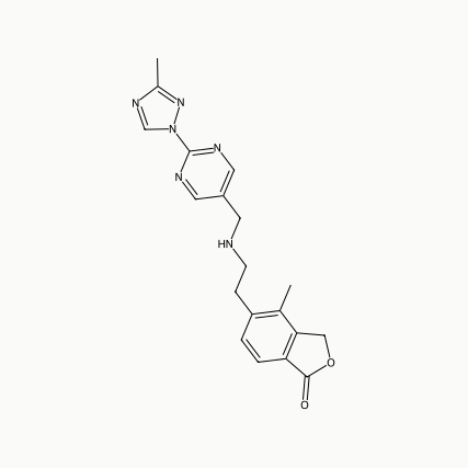 Cc1ncn(-c2ncc(CNCCc3ccc4c(c3C)COC4=O)cn2)n1